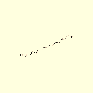 CCCCCCCCCCC=CCCCCCCCCCC=CC(=O)O